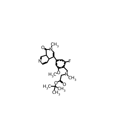 COc1cc(C2=CN(C)C(=O)C3C=NC=CC23)cc(F)c1CN(C)CC(=O)OC(C)(C)C